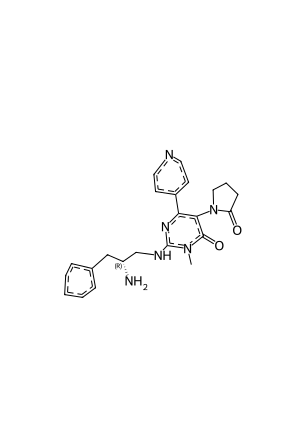 Cn1c(NC[C@H](N)Cc2ccccc2)nc(-c2ccncc2)c(N2CCCC2=O)c1=O